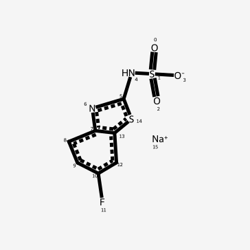 O=S(=O)([O-])Nc1nc2ccc(F)cc2s1.[Na+]